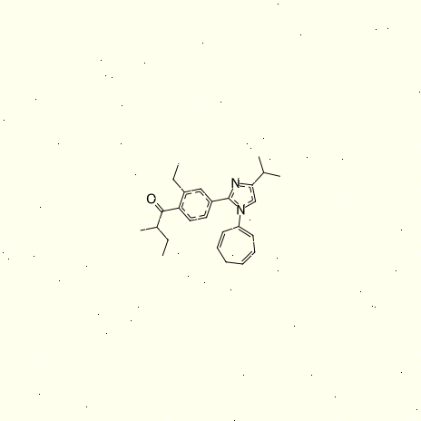 CCc1cc(-c2nc(C(C)C)cn2C2=CC=CCC=C2)ccc1C(=O)C(C)CC